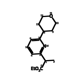 CCOC(=O)C(C)c1cccc(C2CCOCC2)n1